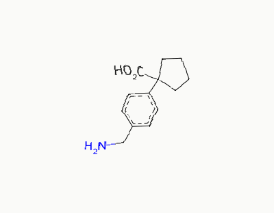 NCc1ccc(C2(C(=O)O)CCCC2)cc1